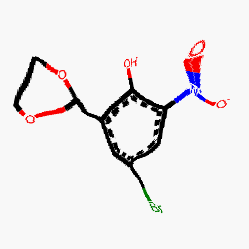 O=[N+]([O-])c1cc(Br)cc(C2OCCO2)c1O